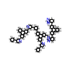 Cn1cnc2cccc(-c3ccc4c5ccc(-c6cccc7ncn(Cc8ccc9c(c8)c8cc(-c%10cc(-c%11ccccc%11)ccn%10)ccc8c8ccc(-c%10cccc(-c%11ccnc(-c%12ccc%13c%14ccc(-c%15cc(-c%16ccccc%16)ccn%15)cc%14c%14ccccc%14c%13c%12)c%11)c%10)cc89)c67)cc5c5ccccc5c4c3)c21